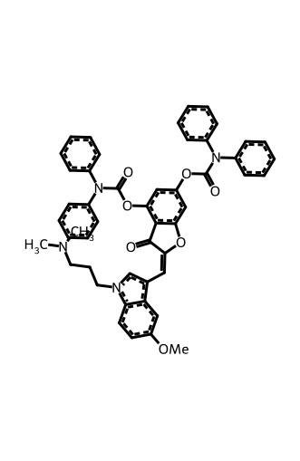 COc1ccc2c(c1)c(C=C1Oc3cc(OC(=O)N(c4ccccc4)c4ccccc4)cc(OC(=O)N(c4ccccc4)c4ccccc4)c3C1=O)cn2CCCN(C)C